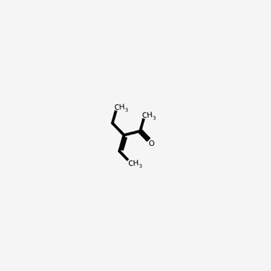 CC=C(CC)C(C)=O